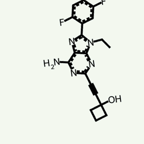 CCn1c(-c2cc(F)ccc2F)nc2c(N)nc(C#CC3(O)CCC3)nc21